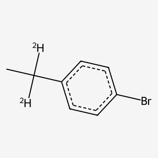 [2H]C([2H])(C)c1ccc(Br)cc1